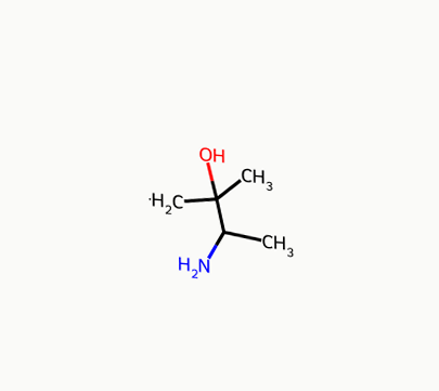 [CH2]C(C)(O)C(C)N